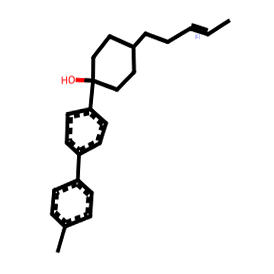 C/C=C/CCC1CCC(O)(c2ccc(-c3ccc(C)cc3)cc2)CC1